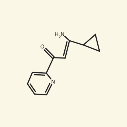 NC(=CC(=O)c1ccccn1)C1CC1